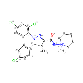 C[C@H]1C(C(=O)N[N+]2(C)CCCCC2)=NN(c2ccc(Cl)cc2Cl)[C@H]1c1ccc(Cl)cc1